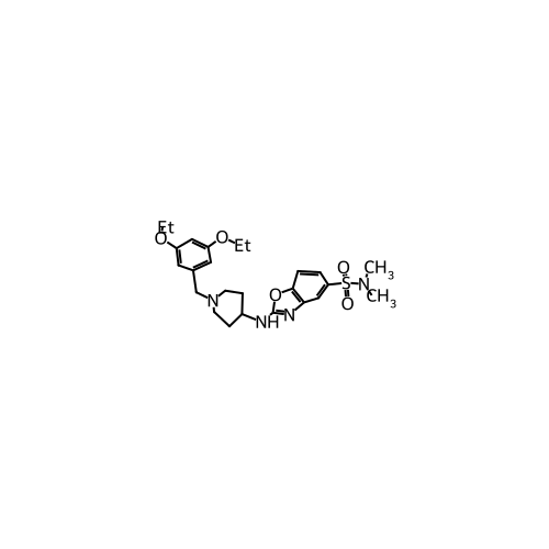 CCOc1cc(CN2CCC(Nc3nc4cc(S(=O)(=O)N(C)C)ccc4o3)CC2)cc(OCC)c1